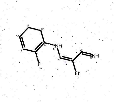 CC/C(C=N)=C/NC1=C(F)C=CCC1